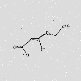 CCOC(Cl)=CC(=O)Cl